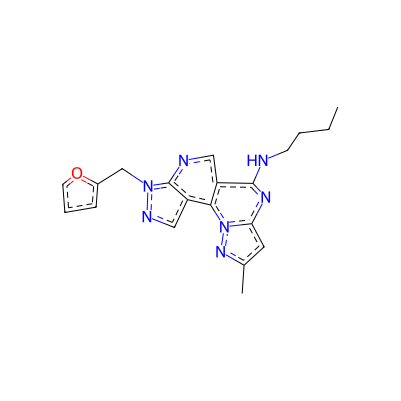 CCCCNc1nc2cc(C)nn2c2c1cnc1c2cnn1Cc1ccco1